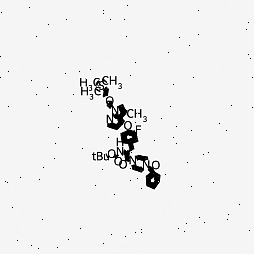 Cc1cn(COCCS(C)(C)C)c2nccc(Oc3ccc(C[C@H](NC(=O)OC(C)(C)C)C(=O)N4CCN(C(=O)c5ccccc5)CC4)cc3F)c12